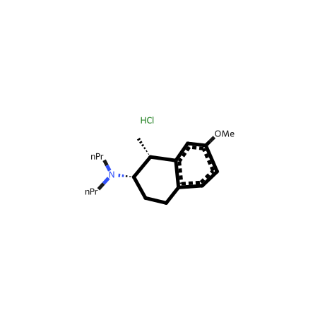 CCCN(CCC)[C@H]1CCc2ccc(OC)cc2[C@H]1C.Cl